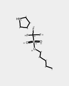 C1CCNC1.CCCCCOS(=O)(=O)C(F)(F)F